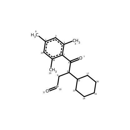 Cc1cc(C)c(C(=O)C(CP=O)C2CCCCC2)c(C)c1